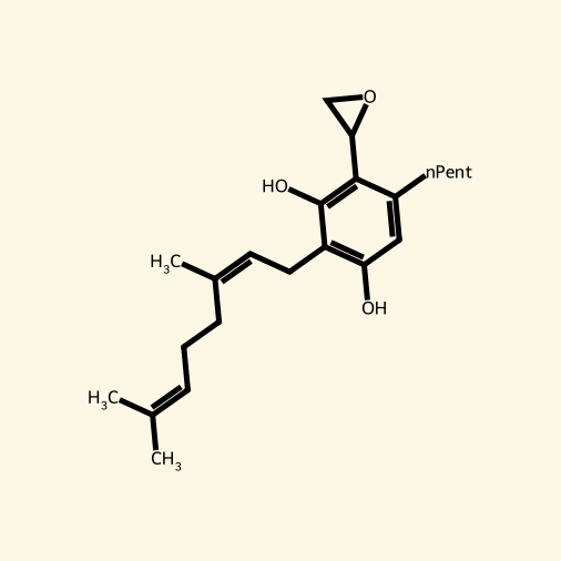 CCCCCc1cc(O)c(CC=C(C)CCC=C(C)C)c(O)c1C1CO1